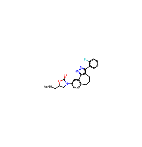 CC(=O)NCC1CN(c2ccc3c(c2)-c2[nH]nc(-c4ccccc4F)c2CCC3)C(=O)O1